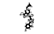 COC(=O)C1CN(CC2CC2)CCC1NC(=O)c1noc(-c2ccc(F)cc2F)n1